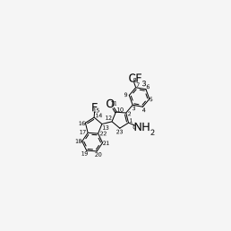 NC1=C(c2cccc(C(F)(F)F)c2)C(=O)C(C2C(F)=Cc3ccccc32)C1